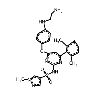 Cc1cccc(C)c1-c1cc(Oc2ccc(NCCN)cc2)nc(NS(=O)(=O)c2cnn(C)c2)n1